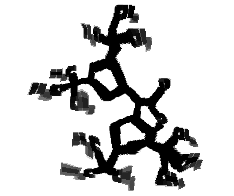 CC(C)(C)c1cc(C2C(=O)Oc3c2cc(C(C)(C)C)cc3C(C)(C)C)cc(C(C)(C)C)c1